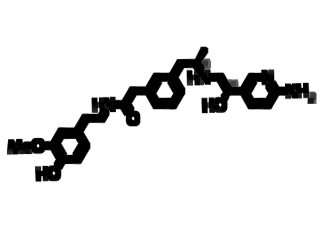 COc1cc(CCNC(=O)Cc2cccc(C[C@@H](C)NC[C@H](O)c3ccc(N)nc3)c2)ccc1O